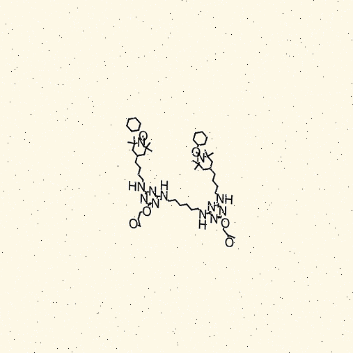 CC1(C)CC(CCCCNc2nc(NCCCCCCNc3nc(NCCCCC4CC(C)(C)N(OC5CCCCC5)C(C)(C)C4)nc(OCC4CO4)n3)nc(OCC3CO3)n2)CC(C)(C)N1OC1CCCCC1